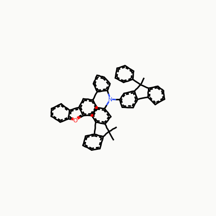 CC1(C)c2ccccc2-c2ccc(N(c3ccc4c(c3)C(C)(c3ccccc3)c3ccccc3-4)c3ccccc3-c3ccc4oc5ccccc5c4c3)cc21